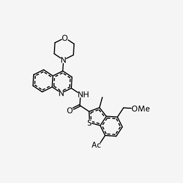 COCc1ccc(C(C)=O)c2sc(C(=O)Nc3cc(N4CCOCC4)c4ccccc4n3)c(C)c12